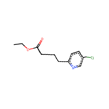 CCOC(=O)CCCc1ccc(Cl)cn1